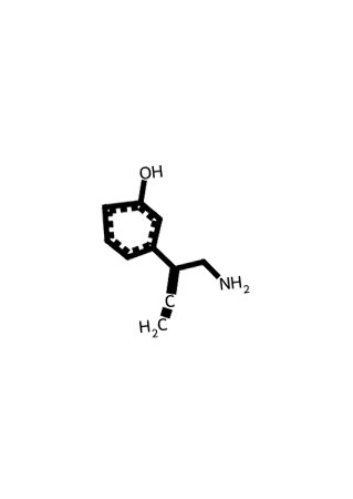 C=C=C(CN)c1cccc(O)c1